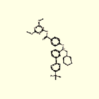 COc1nc(OC)nc(OC(=O)c2ccc(O[C@@H](CC3CCCCC3)c3cccc(-c4ccc(C(F)(F)F)cc4)c3)cc2)n1